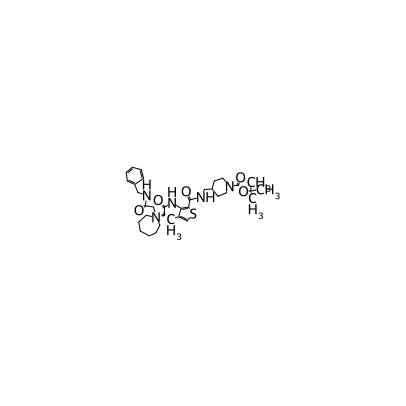 Cc1csc(C(=O)NCC2CCN(C(=O)OC(C)(C)C)CC2)c1NC(=O)C[N+]1(CC(=O)NCc2ccccc2)CCCCCC1